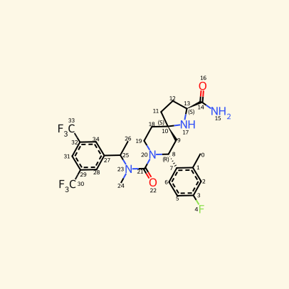 Cc1cc(F)ccc1[C@H]1C[C@]2(CC[C@@H](C(N)=O)N2)CCN1C(=O)N(C)C(C)c1cc(C(F)(F)F)cc(C(F)(F)F)c1